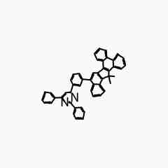 CC1(C)c2c(cc(-c3cccc(-c4cc(-c5ccccc5)nc(-c5ccccc5)n4)c3)c3ccccc23)-c2c1c1ccccc1c1ccccc21